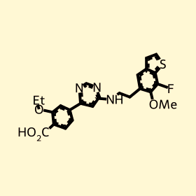 CCOc1cc(-c2cc(NCCc3cc4ccsc4c(F)c3OC)ncn2)ccc1C(=O)O